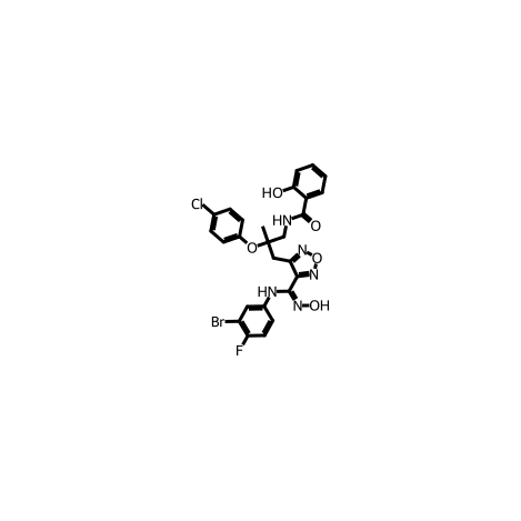 CC(CNC(=O)c1ccccc1O)(Cc1nonc1C(=NO)Nc1ccc(F)c(Br)c1)Oc1ccc(Cl)cc1